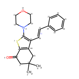 CC1(C)CC(=O)c2sc(N3CCOCC3)c(/C=C/c3ccccc3)c2C1